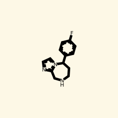 Fc1ccc(C2CCNCc3nccn32)cc1